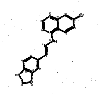 Clc1ccc2c(NN=Cc3ccc4c(c3)OCO4)ccnc2c1